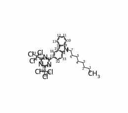 CCCCCCCCn1c2ccccc2c2cc(-c3nc(C(Cl)(Cl)Cl)nc(C(Cl)(Cl)Cl)n3)ccc21